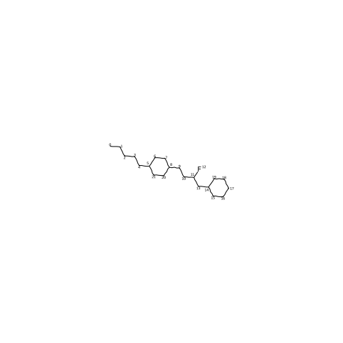 CCCCCC1CCC(CCC(F)CC2CCCCC2)CC1